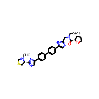 CSCN(Cc1ncc(-c2ccc(-c3ccc(-c4cnc([C@@H]5CSCN5C=O)[nH]4)cc3)cc2)[nH]1)C(=O)[C@H]1CCCO1